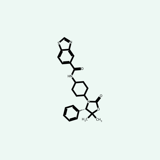 CC1(C)OC(=O)N(C2CCC(NC(=O)c3ccc4scnc4c3)CC2)[C@H]1c1ccccc1